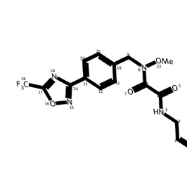 C=CCNC(=O)C(=O)N(Cc1ccc(-c2noc(C(F)(F)F)n2)cc1)OC